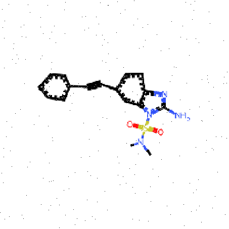 CN(C)S(=O)(=O)n1c(N)nc2ccc(C#Cc3ccccc3)cc21